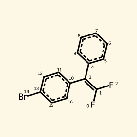 FC(F)=C(c1ccccc1)c1ccc(Br)cc1